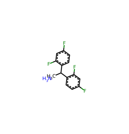 CC(c1ccc(F)cc1F)c1ccc(F)cc1F.N